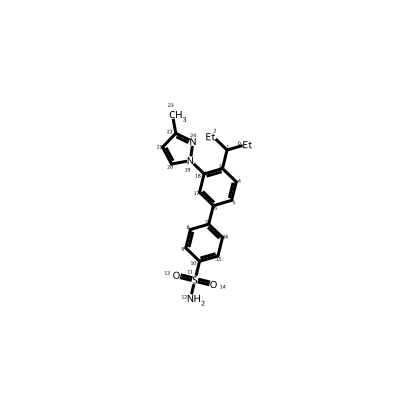 CCC(CC)c1ccc(-c2ccc(S(N)(=O)=O)cc2)cc1-n1ccc(C)n1